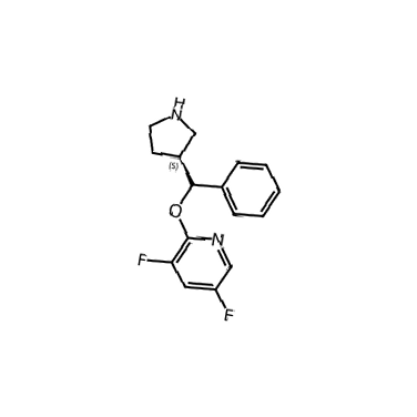 Fc1cnc(OC(c2ccccc2)[C@H]2CCNC2)c(F)c1